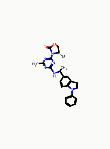 CC[C@H]1COC(=O)N1c1nc(C)nc(NC(C)c2ccc3c(ccn3-c3ccccc3)c2)n1